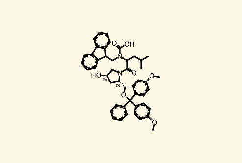 COc1ccc(C(OC[C@@H]2C[C@@H](O)CN2C(=O)C(CC(C)C)N(CC2c3ccccc3-c3ccccc32)C(=O)O)(c2ccccc2)c2ccc(OC)cc2)cc1